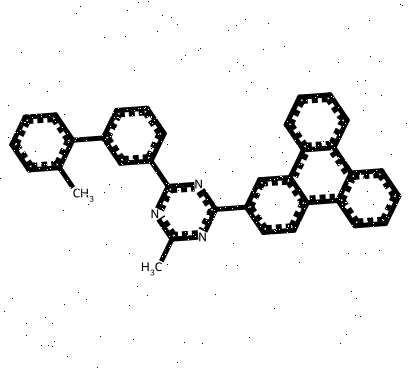 Cc1nc(-c2cccc(-c3ccccc3C)c2)nc(-c2ccc3c4ccccc4c4ccccc4c3c2)n1